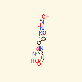 Cc1c(-c2nc3c(o2)CN(C(=O)CN2CC[C@H](O)C2)C3)cccc1-c1cccc(-c2nc3cc(CN4CC[C@@H](C(=O)O)C4)cc(C#N)c3o2)c1C